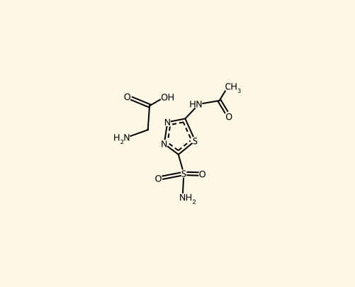 CC(=O)Nc1nnc(S(N)(=O)=O)s1.NCC(=O)O